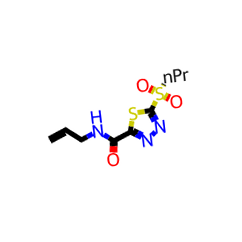 C=CCNC(=O)c1nnc(S(=O)(=O)CCC)s1